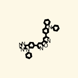 c1ccc(-n2c3ccccc3c3ccc(-c4cnc5oc6ncc(-c7ccc8c9nncnc9n(-c9ccccc9)c8c7)cc6c5c4)cc32)cc1